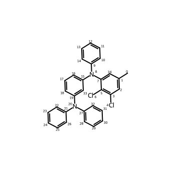 Cc1cc(Cl)c(Cl)c(N(c2ccccc2)c2cccc(N(c3ccccc3)c3ccccc3)c2)c1